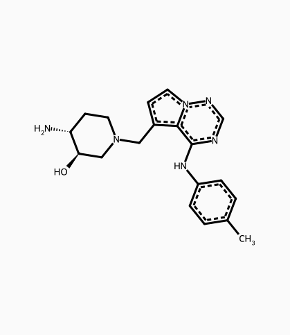 Cc1ccc(Nc2ncnn3ccc(CN4CC[C@@H](N)[C@H](O)C4)c23)cc1